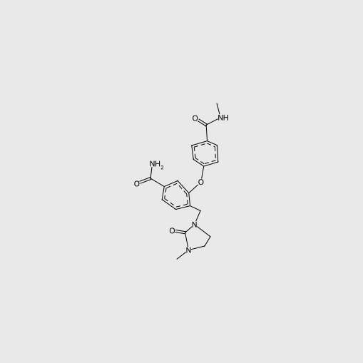 CNC(=O)c1ccc(Oc2cc(C(N)=O)ccc2CN2CCN(C)C2=O)cc1